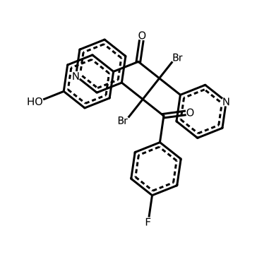 O=C(c1ccc(O)cc1)C(Br)(c1cccnc1)C(Br)(C(=O)c1ccc(F)cc1)c1cccnc1